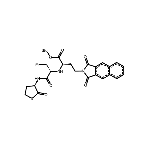 CC(C)C[C@H](N[C@H](CCN1C(=O)c2cc3ccccc3cc2C1=O)C(=O)OC(C)(C)C)C(=O)N[C@@H]1CCSC1=O